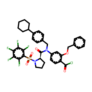 O=C(Cl)c1ccc(N(Cc2ccc(C3CCCCC3)cc2)C(=O)[C@H]2CCCN2S(=O)(=O)c2c(F)c(F)c(F)c(F)c2F)cc1OCc1ccccc1